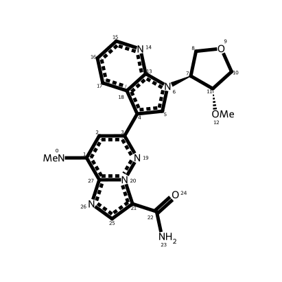 CNc1cc(-c2cn([C@H]3COC[C@@H]3OC)c3ncccc23)nn2c(C(N)=O)cnc12